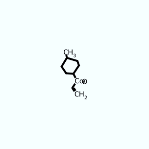 C=[CH][Co](=[O])[CH]1CCC(C)CC1